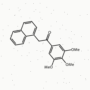 COc1cc(C(=O)Cc2cccc3ccccc23)cc(OC)c1OC